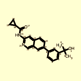 CC(C)(O)c1cccc(-c2ccc3cc(NC(=O)C4CC4)ncc3c2)c1